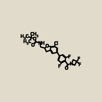 CC(C)(C)OC(=O)NCC1Cc2cc(-c3cc(F)c(C(=O)N4CC(F)(F)C4)c(F)c3)cc(Cl)c2O1